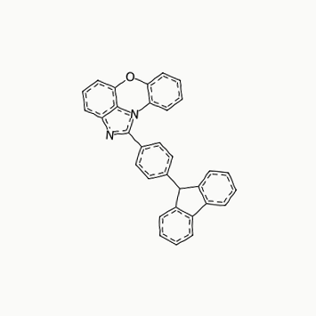 c1ccc2c(c1)Oc1cccc3nc(-c4ccc(C5c6ccccc6-c6ccccc65)cc4)n-2c13